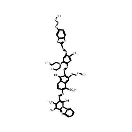 Cc1cc(N=Nc2c(SOOO)cc3c(S(=O)(=O)O)c(N=Nc4c(C)c(C#N)c5nc6ccccc6n5c4O)ccc3c2O)c(N(CCO)CCO)cc1N=Nc1nc2ccc(SOOO)cc2s1